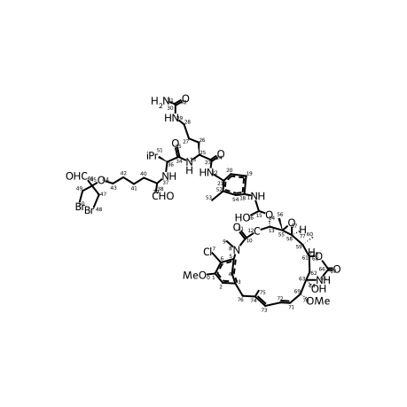 COc1cc2cc(c1Cl)N(C)C(=O)C[C@H](OC(O)Nc1ccc(NC(=O)[C@H](CCCNC(N)=O)NC(=O)[C@@H](NC(C=O)CCCCOC(C=O)(CBr)CBr)C(C)C)c(C)c1)[C@]1(C)O[C@H]1[C@H](C)[C@@H]1C[C@@](O)(NC(=O)O1)[C@H](OC)/C=C/C=C(\C)C2